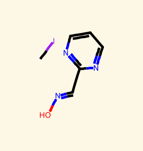 CI.ON=Cc1ncccn1